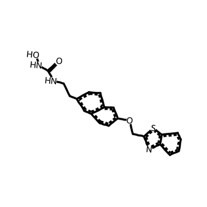 O=C(NO)NCCc1ccc2cc(OCc3nc4ccccc4s3)ccc2c1